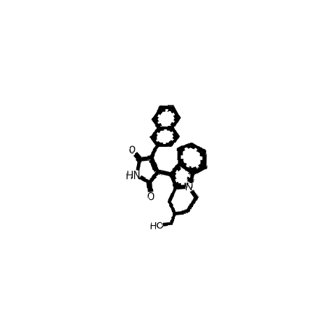 O=C1NC(=O)C(c2c3n(c4ccccc24)CCC(CO)C3)=C1c1ccc2ccccc2c1